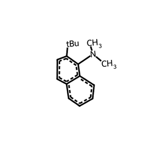 CN(C)c1c(C(C)(C)C)ccc2ccccc12